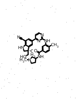 Cc1ccc(C(=O)NC2CCN(C)C2)cc1Nc1nccc(-c2cc(C#N)c3c(c2)[C@@](C)(CO)CN3)n1